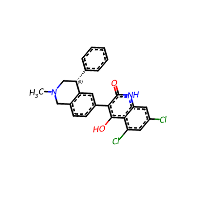 CN1Cc2ccc(-c3c(O)c4c(Cl)cc(Cl)cc4[nH]c3=O)cc2[C@@H](c2ccccc2)C1